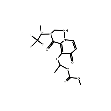 COC(=O)OC(C)Oc1c2n(ccc1=O)NCN([C@H](C)C(F)(F)F)C2=O